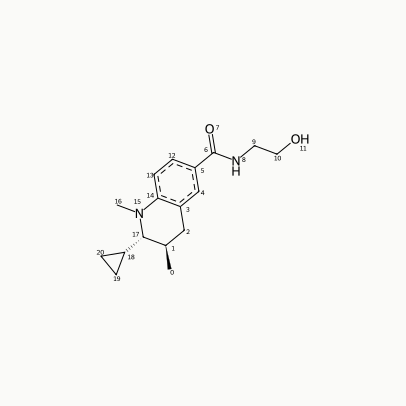 C[C@@H]1Cc2cc(C(=O)NCCO)ccc2N(C)[C@H]1C1CC1